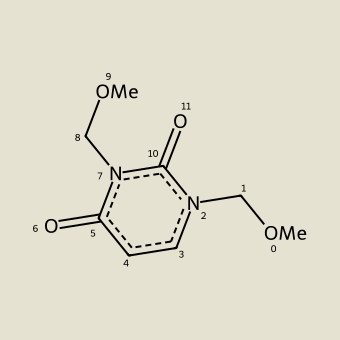 COCn1ccc(=O)n(COC)c1=O